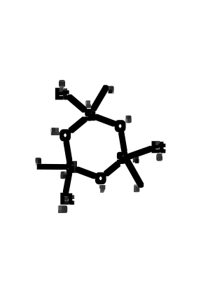 CC[Si]1(C)O[Si](C)(CC)O[Si](C)(CC)O1